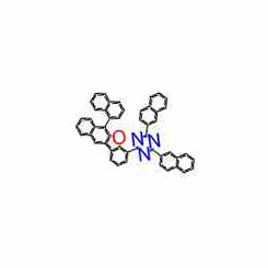 c1ccc2cc(-c3nc(-c4ccc5ccccc5c4)nc(-c4cccc5c4oc4c(-c6cccc7ccccc67)c6ccccc6cc45)n3)ccc2c1